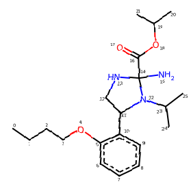 CCCCOc1ccccc1C1CNC(N)(C(=O)OC(C)C)N1C(C)C